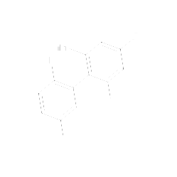 CC(C)c1ccc(F)c(-c2c(F)cc(F)cc2C(C)C)c1